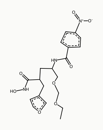 CCOCOCC(CC(Cc1ccoc1)C(=O)NO)NC(=O)c1ccc([N+](=O)[O-])cc1